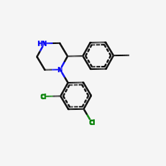 Cc1ccc(C2CNCCN2c2ccc(Cl)cc2Cl)cc1